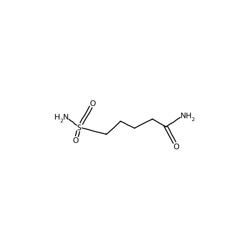 NC(=O)CCCCS(N)(=O)=O